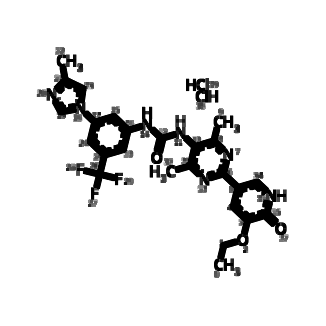 CCOc1cc(-c2nc(C)c(NC(=O)Nc3cc(-n4cnc(C)c4)cc(C(F)(F)F)c3)c(C)n2)c[nH]c1=O.Cl.Cl